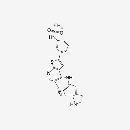 CS(=O)(=O)Nc1cccc(-c2cc3c(Nc4ccc5[nH]ccc5c4)c(C#N)cnc3s2)c1